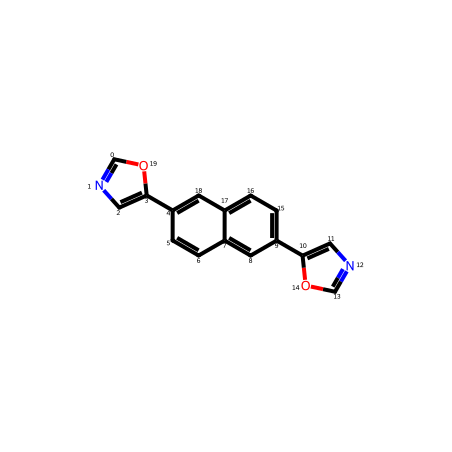 c1ncc(-c2ccc3cc(-c4cnco4)ccc3c2)o1